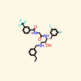 CCc1cccc(CNC[C@H](O)[C@@H](Cc2cc(F)cc(F)c2)NC(=O)CNC(=O)c2cccc(C(F)(F)F)c2)c1